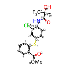 COC(=O)c1ccccc1Sc1ccc(NC(=O)C(C)(O)C(F)(F)F)c(Cl)c1